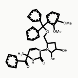 COc1cccc(C(OCC2CC(O)C(C(C)=O)N2N2C=CC(N)(C(=O)c3ccccc3)NC2=O)(c2ccccc2)c2ccccc2)c1OC